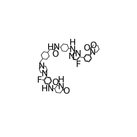 O=C1CCC(Nc2ccc(N3CCN(CC4CCC(CC(=O)N[C@H]5CC[C@H](Nc6ncc(F)c(-c7cccc(N8CCCOC8=O)c7)n6)CC5)CC4)CC3)c(F)c2)C(=O)N1